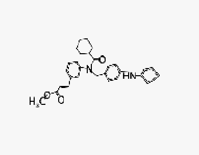 COC(=O)/C=C/c1cccc(N(Cc2ccc(CNc3ccccc3)cc2)C(=O)C2CCCCC2)c1